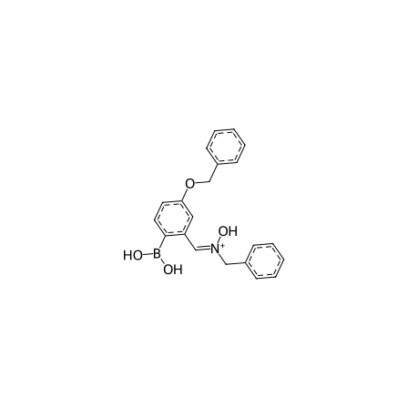 OB(O)c1ccc(OCc2ccccc2)cc1/C=[N+](\O)Cc1ccccc1